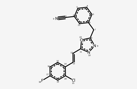 N#Cc1cccc(Cc2nnc(/C=C/c3ccc(F)cc3Cl)o2)c1